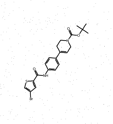 CC(C)(C)OC(=O)N1CC=C(c2ccc(NC(=O)c3cc(Br)cs3)cc2)CC1